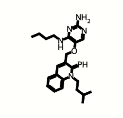 CCCCNc1nc(N)ncc1OCc1cc2ccccc2n(CCC(C)C)c1=P